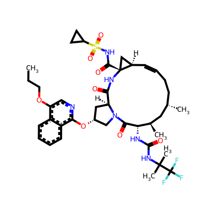 CCCOc1cnc(O[C@@H]2C[C@H]3C(=O)N[C@]4(C(=O)NS(=O)(=O)C5CC5)C[C@H]4C=CCC[C@H](C)C[C@@H](C)[C@H](NC(=O)NC(C)(C)C(F)(F)F)C(=O)N3C2)c2ccccc12